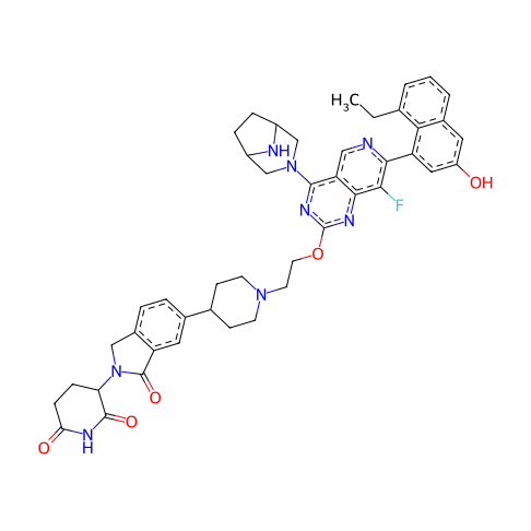 CCc1cccc2cc(O)cc(-c3ncc4c(N5CC6CCC(C5)N6)nc(OCCN5CCC(c6ccc7c(c6)C(=O)N(C6CCC(=O)NC6=O)C7)CC5)nc4c3F)c12